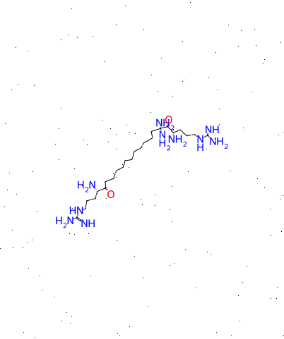 N=C(N)NCCC[C@H](N)C(=O)CCCCCCCCCCCC(N)(N)C(=O)[C@@H](N)CCCNC(=N)N